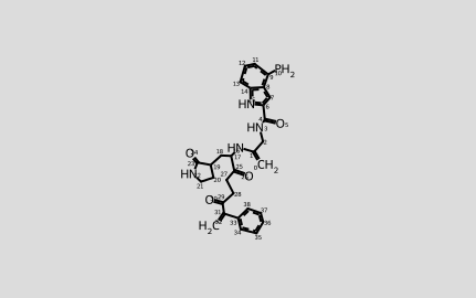 C=C(CNC(=O)c1cc2c(P)cccc2[nH]1)NC(CC1CCNC1=O)C(=O)CCC(=O)C(=C)c1ccccc1